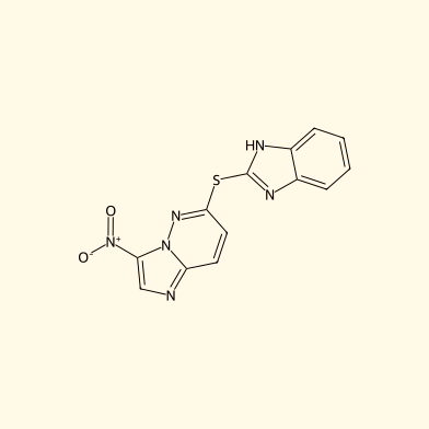 O=[N+]([O-])c1cnc2ccc(Sc3nc4ccccc4[nH]3)nn12